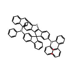 c1ccc(-c2ccccc2N(c2ccccc2)c2ccc3c(c2)C2(c4ccccc4-c4ccc(N(c5ccccc5)c5cccc6ccccc56)cc42)c2c-3sc3ccccc23)cc1